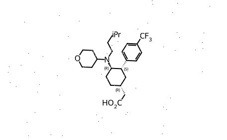 CC(C)CCN(C1CCOCC1)[C@@H]1CC[C@@H](CC(=O)O)C[C@H]1c1ccc(C(F)(F)F)cc1